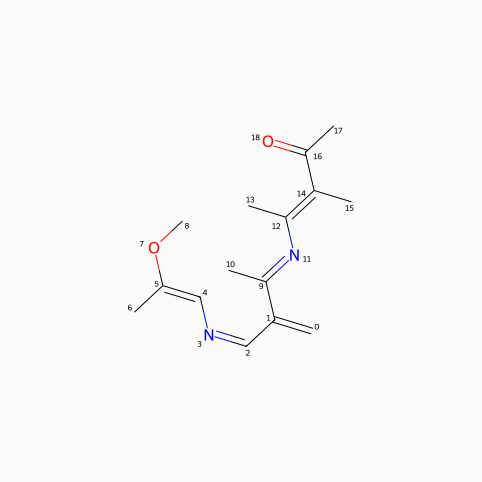 C=C(/C=N\C=C(/C)OC)/C(C)=N/C(C)=C(\C)C(C)=O